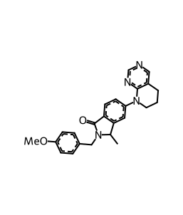 COc1ccc(CN2C(=O)c3ccc(N4CCCc5cncnc54)cc3C2C)cc1